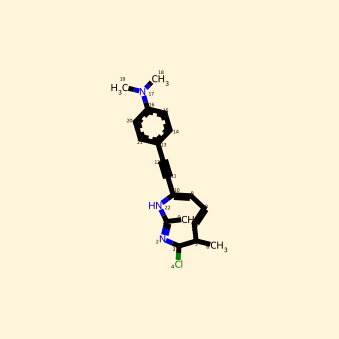 C/C1=N\C(Cl)C(C)/C=C/C=C(/C#Cc2ccc(N(C)C)cc2)N1